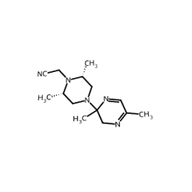 CC1=NCC(C)(N2C[C@@H](C)N(CC#N)[C@@H](C)C2)N=C1